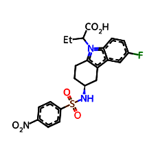 CCC(C(=O)O)n1c2c(c3cc(F)ccc31)C[C@@H](NS(=O)(=O)c1ccc([N+](=O)[O-])cc1)CC2